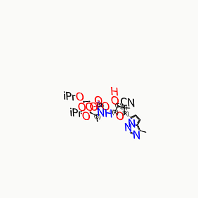 Cc1ncnn2c([C@@H]3O[C@H](CO[P@](=O)(N[C@@H](C)C(=O)OC(C)C)OCC(=O)OC(C)C)[C@@H](O)[C@@]3(C)C#N)ccc12